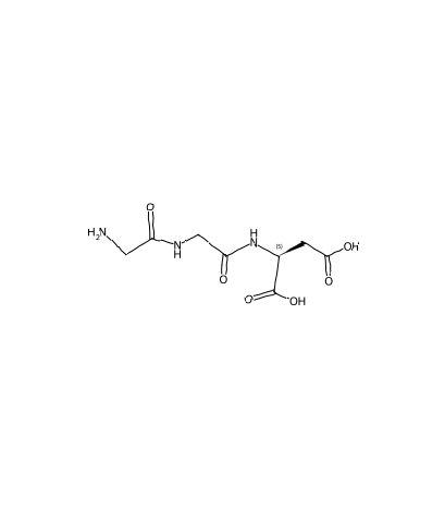 NCC(=O)NCC(=O)N[C@@H](CC(=O)O)C(=O)O